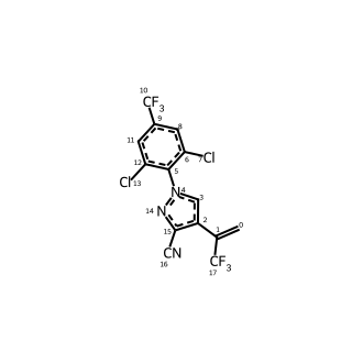 C=C(c1cn(-c2c(Cl)cc(C(F)(F)F)cc2Cl)nc1C#N)C(F)(F)F